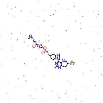 Cc1nc2c(c(NC3CCC(CCC(=O)OC4CN(C(=O)/C=C/CN(C)C)C4)CC3)n1)N=CC(C(C)C)CC2